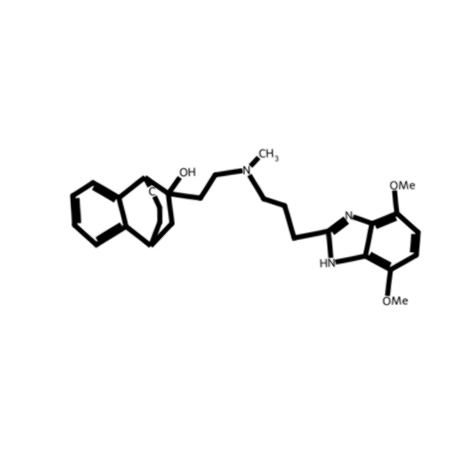 COc1ccc(OC)c2[nH]c(CCCN(C)CCC3(O)CC4CCCC3c3ccccc34)nc12